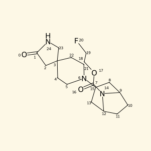 O=C1CC2(CCN(C3CC4CCC(C3)N4C(=O)OCCF)CC2)CN1